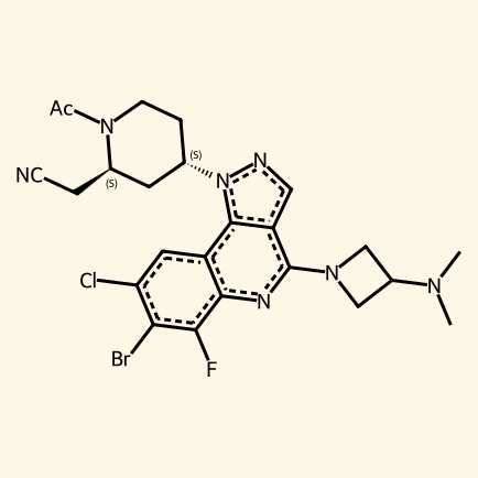 CC(=O)N1CC[C@H](n2ncc3c(N4CC(N(C)C)C4)nc4c(F)c(Br)c(Cl)cc4c32)C[C@H]1CC#N